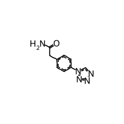 NC(=O)Cc1ccc(-n2cnnn2)cc1